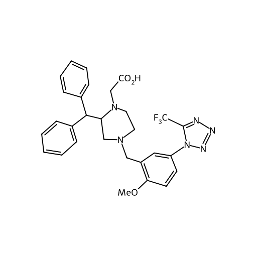 COc1ccc(-n2nnnc2C(F)(F)F)cc1CN1CCN(CC(=O)O)C(C(c2ccccc2)c2ccccc2)C1